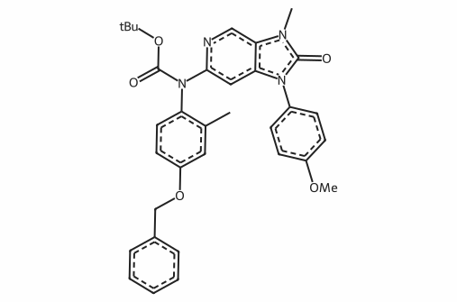 COc1ccc(-n2c(=O)n(C)c3cnc(N(C(=O)OC(C)(C)C)c4ccc(OCc5ccccc5)cc4C)cc32)cc1